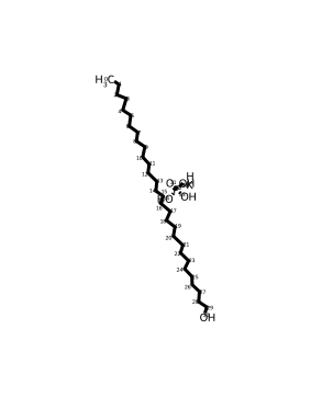 CCCCCCCCCCCCCCCCCCCCCCCCCCCCCCO.O=P(O)(O)O.[KH]